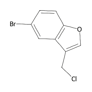 ClCc1coc2ccc(Br)cc12